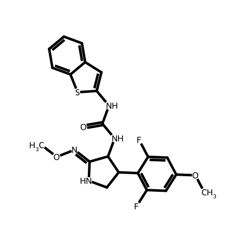 CO/N=C1\NCC(c2c(F)cc(OC)cc2F)C1NC(=O)Nc1cc2ccccc2s1